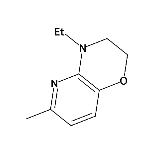 CCN1CCOc2ccc(C)nc21